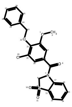 COc1cc(C(=O)N2CS(=O)(=O)c3ccccc32)cc(Cl)c1OCc1ccccc1